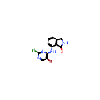 O=C1NCc2cccc(Nc3nc(Cl)ncc3Br)c21